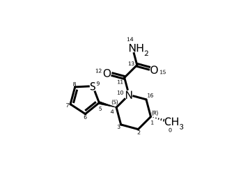 C[C@@H]1CC[C@@H](c2cccs2)N(C(=O)C(N)=O)C1